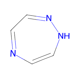 C1=CNN=CC=N1